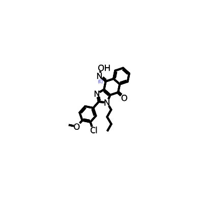 CCCCn1c(-c2ccc(OC)c(Cl)c2)nc2c1C(=O)c1ccccc1/C2=N\O